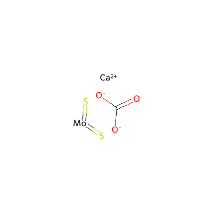 O=C([O-])[O-].[Ca+2].[S]=[Mo]=[S]